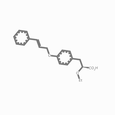 CCO[C@@H](Cc1ccc(OCC=Cc2ccccc2)cc1)C(=O)O